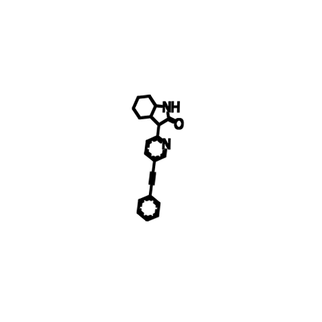 O=C1NC2CCCCC2C1c1ccc(C#Cc2ccccc2)cn1